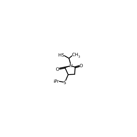 CC(C)SC1CC(=O)N(C(C)S)C1=O